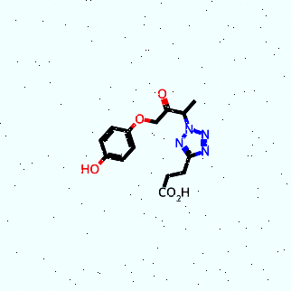 CC(C(=O)COc1ccc(O)cc1)n1nnc(CCC(=O)O)n1